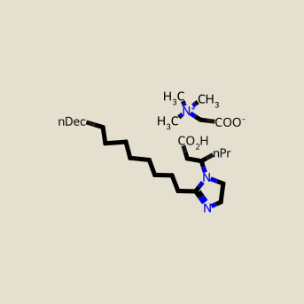 CCCCCCCCCCCCCCCCCCC1=NCCN1C(CCC)CC(=O)O.C[N+](C)(C)CC(=O)[O-]